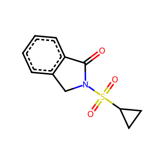 O=C1c2ccccc2CN1S(=O)(=O)C1CC1